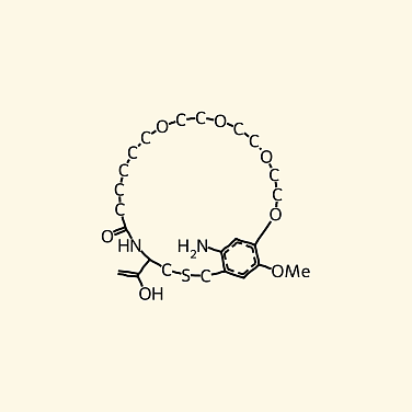 C=C(O)C1CSCc2cc(OC)c(cc2N)OCCOCCOCCOCCCCCC(=O)N1